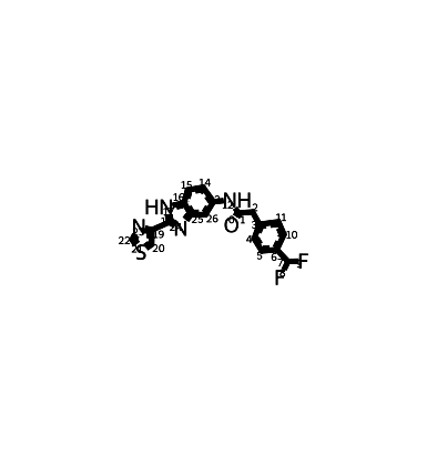 O=C(Cc1ccc(C(F)F)cc1)Nc1ccc2[nH]c(-c3cscn3)nc2c1